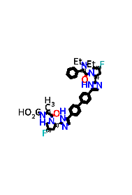 CCN(CC)[C@@H](C(=O)N1C[C@@H](F)C[C@H]1c1ncc(-c2ccc(-c3ccc(-c4cnc([C@@H]5C[C@H](F)CN5C(=O)[C@H](C)NC(=O)O)[nH]4)cc3)cc2)[nH]1)c1ccccc1